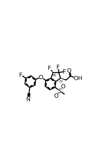 CS(=O)(=O)c1ccc(Oc2cc(F)cc(C#N)c2)c2c1[C@H](CC(=O)O)C(F)(F)[C@@H]2F